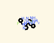 NC1=NC(Cc2ccccc2F)(c2nn(Cc3ccccc3F)c3ncccc23)NC(N)=C1N